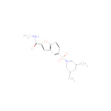 CNC(=O)c1cc2cc(S(=O)(=O)N3CC(C)CC(C)C3)ccc2o1